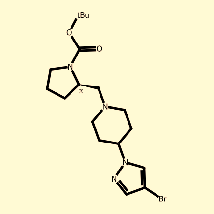 CC(C)(C)OC(=O)N1CCC[C@@H]1CN1CCC(n2cc(Br)cn2)CC1